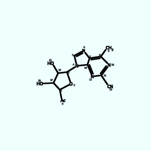 CC(=O)C1OC(n2cnc3c(C)nc(C#N)nc32)C(O)C1O